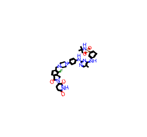 Cc1cnc(Nc2ccc(N3CCN(Cc4ccc5c(c4F)CN(C4CCC(=O)NC4=O)C5=O)CC3)cc2)nc1Nc1cccc(S(=O)(=O)NC(C)(C)C)c1